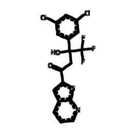 O=C(CC(O)(c1cc(Cl)cc(Cl)c1)C(F)(F)F)c1cc2cccnc2s1